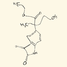 CCCC(C)(C(=O)OCC)c1ccc2c(c1)C(=O)C(=O)N2